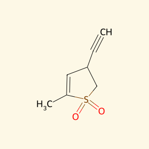 C#CC1C=C(C)S(=O)(=O)C1